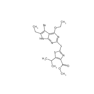 CCOc1nc(Sc2nc(C(=O)OC)c(C(C)C)s2)nc2[nH]c(CC)c(Br)c12